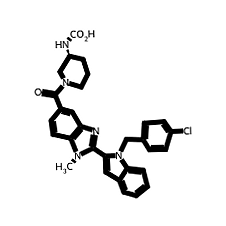 Cn1c(-c2cc3ccccc3n2Cc2ccc(Cl)cc2)nc2cc(C(=O)N3CCC[C@@H](NC(=O)O)C3)ccc21